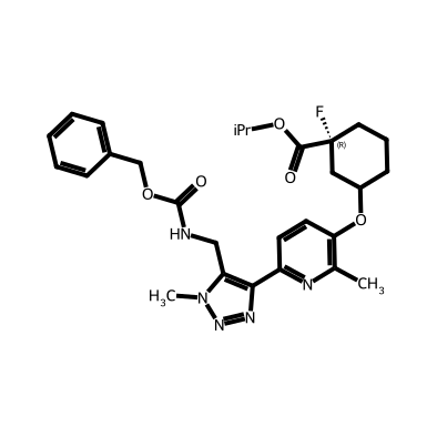 Cc1nc(-c2nnn(C)c2CNC(=O)OCc2ccccc2)ccc1OC1CCC[C@](F)(C(=O)OC(C)C)C1